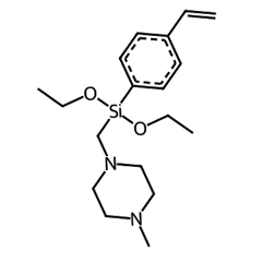 C=Cc1ccc([Si](CN2CCN(C)CC2)(OCC)OCC)cc1